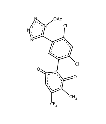 CC(=O)On1nnnc1-c1cc(-n2c(=O)cc(C(F)(F)F)n(C)c2=O)c(Cl)cc1Cl